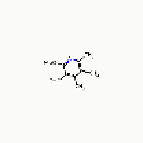 COc1nc(C)c(C)c(C)c1C=O